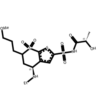 CCN[C@H]1CC(CCCOC)S(=O)(=O)c2sc(S(=O)(=O)NC(=O)[C@H](C)O)cc21